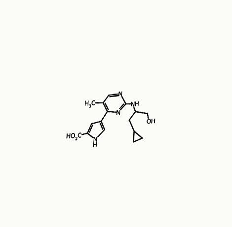 Cc1cnc(NC(CO)CC2CC2)nc1-c1c[nH]c(C(=O)O)c1